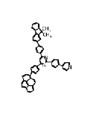 CC1(C)c2ccccc2-c2ccc(-c3ccc(-c4cc(-c5ccc(-c6ccc7ccc8cccc9ccc6c7c89)cc5)nc(-c5ccc(-c6ccncc6)cc5)n4)cc3)cc21